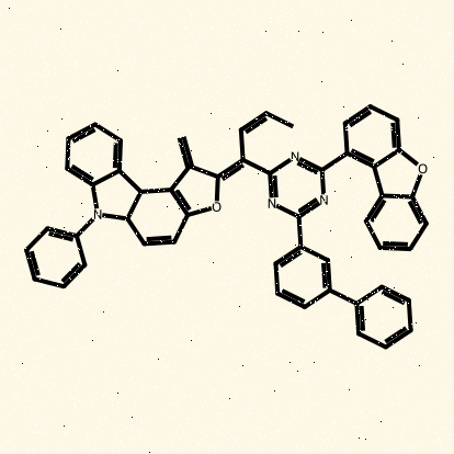 C=c1c2c(o/c1=C(/C=C\C)c1nc(-c3cccc(-c4ccccc4)c3)nc(-c3cccc4oc5ccccc5c34)n1)C=CC1C2c2ccccc2N1c1ccccc1